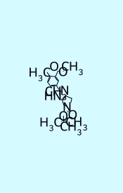 COC(=O)c1cc(-c2nc3c([nH]2)CN(C(=O)OC(C)(C)C)CC3)c(C)cc1C